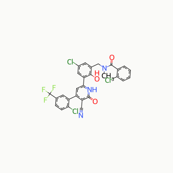 CN(Cc1cc(Cl)cc(-c2cc(-c3cc(C(F)(F)F)ccc3Cl)c(C#N)c(=O)[nH]2)c1O)C(=O)c1ccccc1Cl